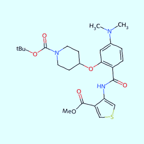 COC(=O)c1cscc1NC(=O)c1ccc(N(C)C)cc1OC1CCN(C(=O)OC(C)(C)C)CC1